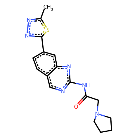 Cc1nnc(-c2ccc3cnc(NC(=O)CN4CCCC4)nc3c2)s1